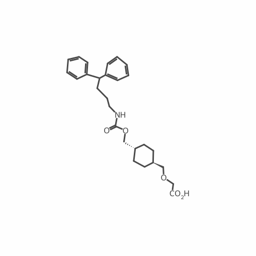 O=C(O)COC[C@H]1CC[C@H](COC(=O)NCCCC(c2ccccc2)c2ccccc2)CC1